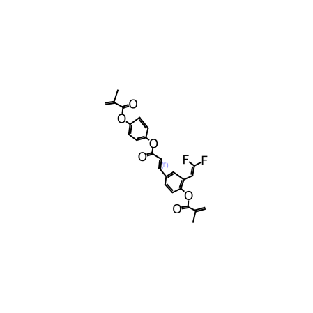 C=C(C)C(=O)Oc1ccc(OC(=O)/C=C/c2ccc(OC(=O)C(=C)C)c(C=C(F)F)c2)cc1